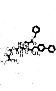 CC(OC(=O)NC(C)(O)P1(=O)CC(C(=O)OCc2ccccc2)N1C(=O)C(C)Cc1ccc(-c2ccccc2)cc1)OC(=O)C(C)C